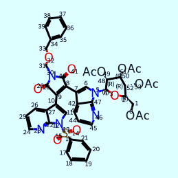 CC(=O)OC[C@H]1O[C@@H](n2cc(C3=C(c4cn(S(=O)(=O)c5ccccc5)c5ncccc45)C(=O)N(COCc4ccccc4)C3=O)c3cccnc32)[C@H](OC(C)=O)[C@@H](OC(C)=O)[C@@H]1OC(C)=O